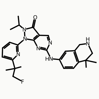 CC(C)n1c(=O)c2cnc(Nc3ccc4c(c3)CNCC4(C)C)nc2n1-c1cccc(C(C)(C)CF)n1